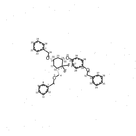 FC1(F)[C@H](COCc2ccccc2)C[C@H](OCc2ccccc2)C[C@@H]1Oc1ccc(OCc2ccccc2)cc1